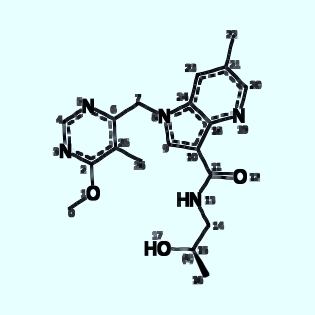 COc1ncnc(Cn2cc(C(=O)NC[C@@H](C)O)c3ncc(C)cc32)c1C